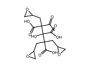 CC(=O)C(CC1CO1)(C(=O)O)C(O)(C(=O)O)C(CC1CO1)(CC1CO1)C(=O)O